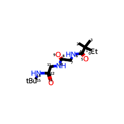 CCC(C)(C)C(=O)NCC(=O)NCC(=O)NC(C)(C)C